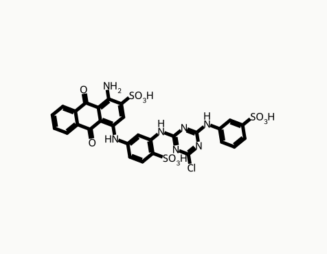 Nc1c(S(=O)(=O)O)cc(Nc2ccc(S(=O)(=O)O)c(Nc3nc(Cl)nc(Nc4cccc(S(=O)(=O)O)c4)n3)c2)c2c1C(=O)c1ccccc1C2=O